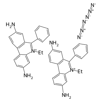 CC[n+]1c(-c2ccccc2)c2cc(N)ccc2c2ccc(N)cc21.CC[n+]1c(-c2ccccc2)c2cc(N)ccc2c2ccc(N)cc21.[N-]=[N+]=[N-].[N-]=[N+]=[N-]